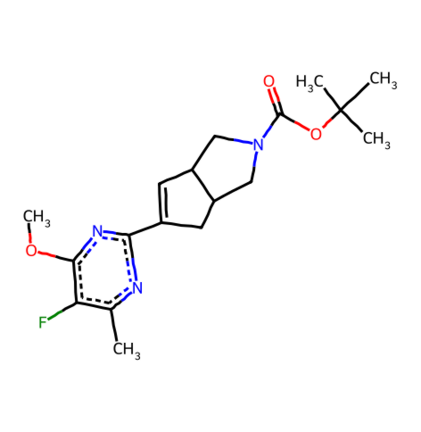 COc1nc(C2=CC3CN(C(=O)OC(C)(C)C)CC3C2)nc(C)c1F